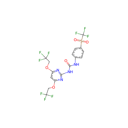 O=C(Nc1ccc(S(=O)(=O)C(F)(F)F)cc1)Nc1nc(OCC(F)(F)F)cc(OCC(F)(F)F)n1